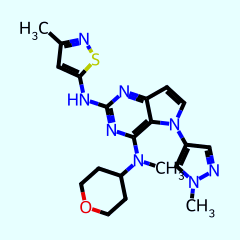 Cc1cc(Nc2nc(N(C)C3CCOCC3)c3c(ccn3-c3cnn(C)c3)n2)sn1